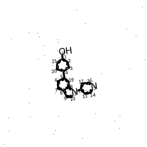 Oc1ccc(-c2ccc3ccn(-c4ccncc4)c3c2)cc1